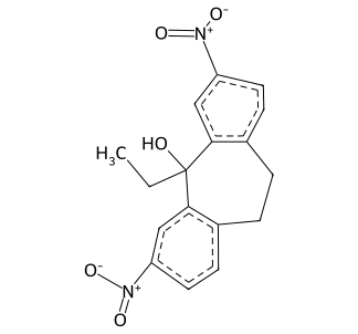 CCC1(O)c2cc([N+](=O)[O-])ccc2CCc2ccc([N+](=O)[O-])cc21